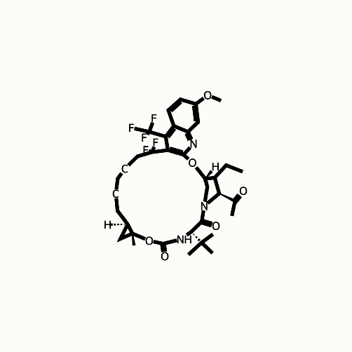 CCC1[C@@H]2CN(C(=O)[C@H](C(C)(C)C)NC(=O)O[C@]3(C)C[C@H]3CCCCCC(F)(F)c3c(nc4cc(OC)ccc4c3C(F)(F)F)O2)[C@@H]1C(C)=O